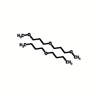 CCCCOCCCC.COCCCOCCCOC